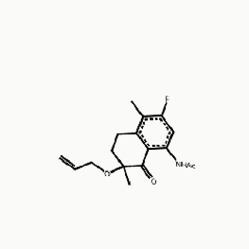 C=CCOC1(C)CCc2c(C)c(F)cc(NC(C)=O)c2C1=O